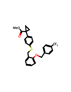 COC(=O)C1(c2ccc(SCc3ccccc3OCc3ccc(C(F)(F)F)cc3)cc2)CC1